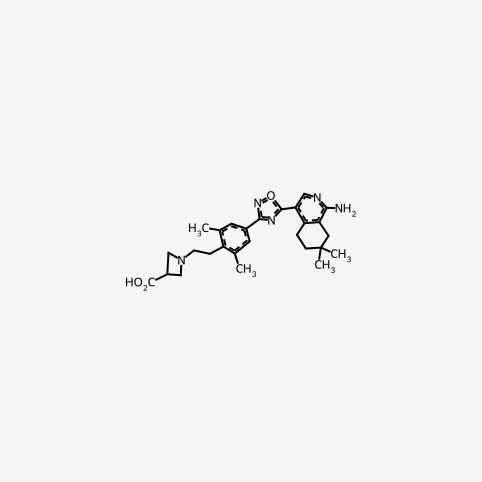 Cc1cc(-c2noc(-c3cnc(N)c4c3CCC(C)(C)C4)n2)cc(C)c1CCN1CC(C(=O)O)C1